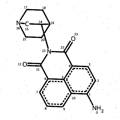 Nc1ccc2c3c(cccc13)C(=O)N(C1CN3CCC1CC3)C2=O